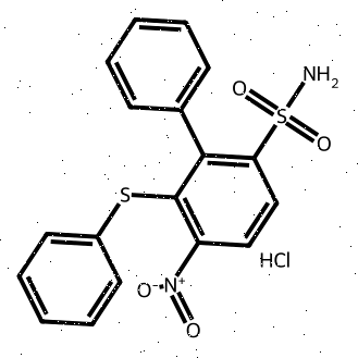 Cl.NS(=O)(=O)c1ccc([N+](=O)[O-])c(Sc2ccccc2)c1-c1ccccc1